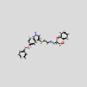 c1ccc(COc2ccc3[nH]cc(CCCNCC4COc5ccccc5O4)c3c2)cc1